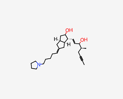 CC#CC[C@H](C)[C@H](O)C=C[C@@H]1[C@H]2CC(=CCCCCN3CCCC3)C[C@H]2C[C@H]1O